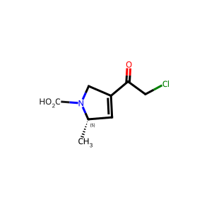 C[C@H]1C=C(C(=O)CCl)CN1C(=O)O